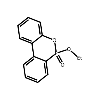 CCOP1(=O)Oc2ccccc2-c2ccccc21